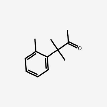 CC(=O)C(C)(C)c1ccccc1C